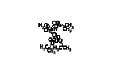 COC(=O)[C@H](Cc1ccc(OC(=O)OCCC(C)C)c(OC(=O)OCCC(C)C)c1)NCC(C)OC(=O)CCC(C)C